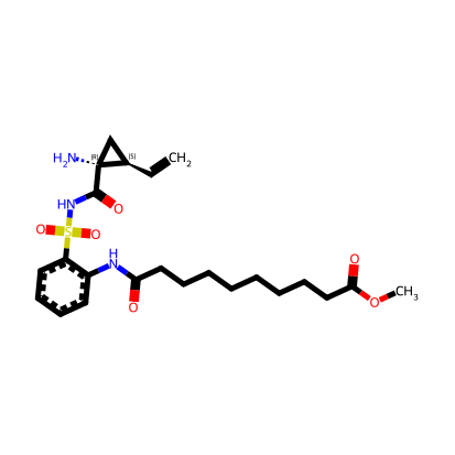 C=C[C@@H]1C[C@]1(N)C(=O)NS(=O)(=O)c1ccccc1NC(=O)CCCCCCCCC(=O)OC